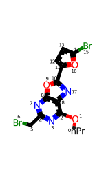 CCCOc1nc(CBr)nc2oc(-c3ccc(Br)o3)nc12